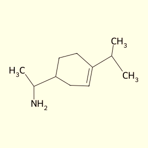 CC(C)C1=CCC(C(C)N)CC1